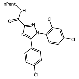 CCCCCNC(=O)c1nc(-c2ccc(Cl)cc2)n(-c2ccc(Cl)cc2Cl)n1